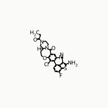 C=CC(=O)N1CCN2C(=O)c3cc(F)c(-c4ccc(F)c5sc(N)c(C#N)c45)c(Cl)c3OCC[C@H]2C1